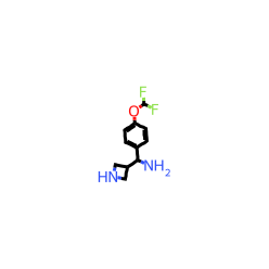 NC(c1ccc(OC(F)F)cc1)C1CNC1